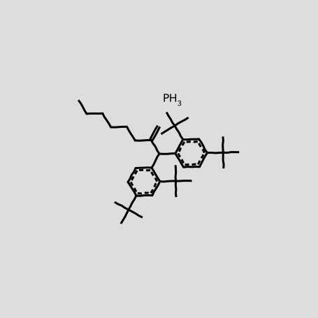 C=C(CCCCCC)C(c1ccc(C(C)(C)C)cc1C(C)(C)C)c1ccc(C(C)(C)C)cc1C(C)(C)C.P